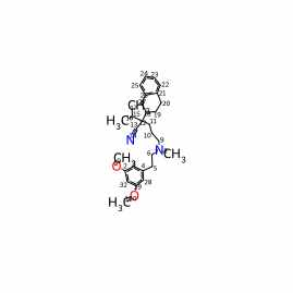 COc1cc(CCN(C)CCCC(C#N)(C(C)C)C2CCc3ccccc3C2)cc(OC)c1